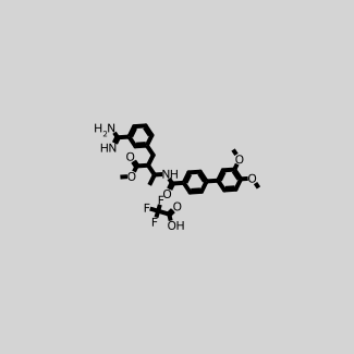 COC(=O)C(Cc1cccc(C(=N)N)c1)C(C)NC(=O)c1ccc(-c2ccc(OC)c(OC)c2)cc1.O=C(O)C(F)(F)F